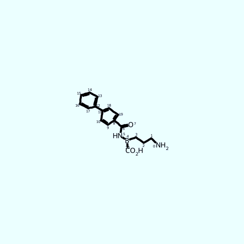 NCCCB(NC(=O)c1ccc(-c2ccccc2)cc1)C(=O)O